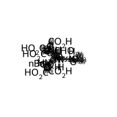 CCCCOCC(COCCC(=O)O)(COCCC(=O)O)NC(=O)CCOCC(COCCC=O)(COCCC(=O)NC(COCCC(=O)O)(COCCC(=O)O)COCCC(=O)O)NC(=O)NCCCCCCNC(=O)OCC1c2ccccc2-c2ccccc21